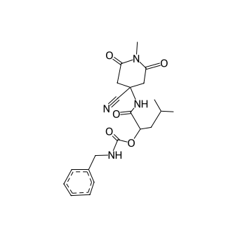 CC(C)CC(OC(=O)NCc1ccccc1)C(=O)NC1(C#N)CC(=O)N(C)C(=O)C1